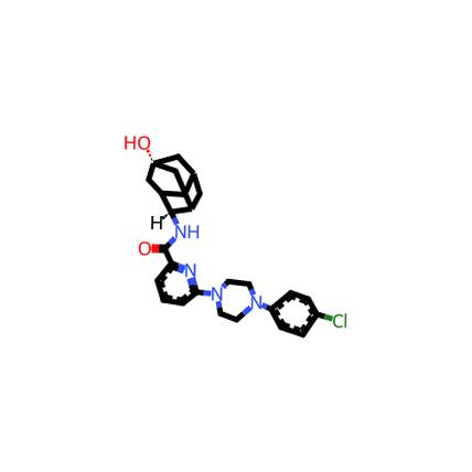 O=C(N[C@H]1C2CC3CC1C[C@](O)(C3)C2)c1cccc(N2CCN(c3ccc(Cl)cc3)CC2)n1